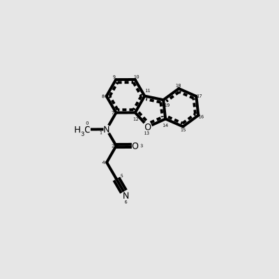 CN(C(=O)CC#N)c1cccc2c1oc1ccccc12